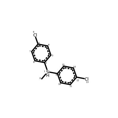 C[SiH](c1ccc(Cl)cc1)c1ccc(Cl)cc1